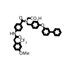 COc1ccc(CC(=O)Nc2ccc(C(=O)N(CC(=O)O)Cc3ccc(Oc4cccc(-c5ccccc5)c4)cc3)cc2)c(C(F)(F)F)c1